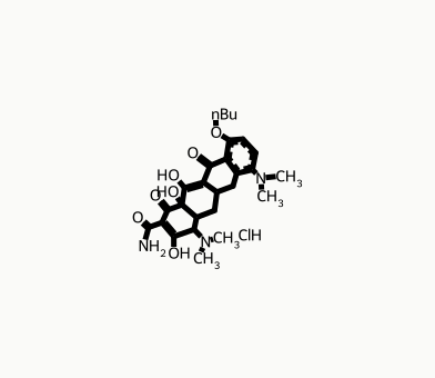 CCCCOc1ccc(N(C)C)c2c1C(=O)C1=C(O)C3(O)C(=O)C(C(N)=O)=C(O)C(N(C)C)C3CC1C2.Cl